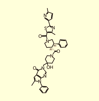 Cc1ccc(-c2nc(C)c(C(=O)N3CC[C@@H](C(=O)N4CCC(O)(Cn5cnc6c(cc(C)n6-c6ccccc6)c5=O)CC4)[C@H](c4ccccc4)C3)s2)cn1